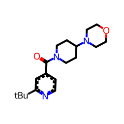 CC(C)(C)c1cc(C(=O)N2CCC(N3CCOCC3)CC2)ccn1